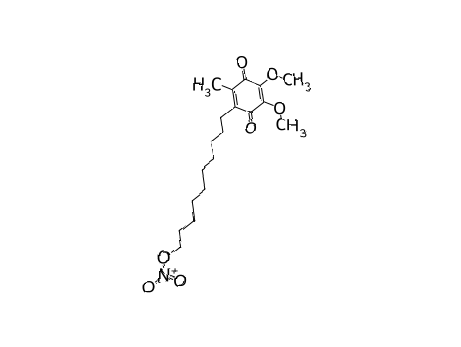 COC1=C(OC)C(=O)C(CCCCCCCCCCO[N+](=O)[O-])=C(C)C1=O